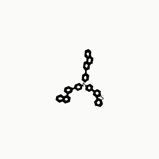 c1cc(-c2ccc(N(c3ccc(-c4ccc5c(ccc6ccccc65)c4)cc3)c3ccc(-c4ccc5sc6ccccc6c5c4)cc3)cc2)cc(-c2cccc3ccccc23)c1